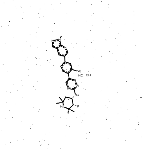 Cl.Cl.Cn1ncc2cc(-c3ccc(-c4cnc(N[C@H]5CC(C)(C)NC(C)(C)[C@H]5F)nn4)c(O)c3)cnc21